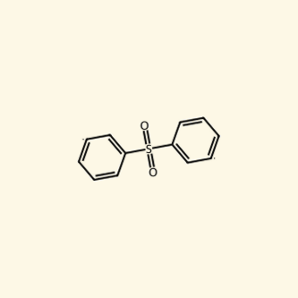 O=S(=O)(c1c[c]ccc1)c1c[c]ccc1